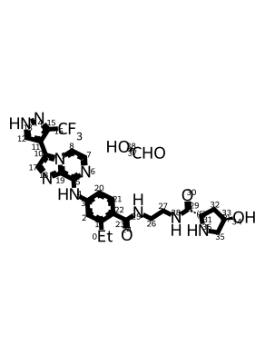 CCc1cc(Nc2nccn3c(-c4c[nH]nc4C(F)(F)F)cnc23)ccc1C(=O)NCCNC(=O)[C@@H]1C[C@@H](O)CN1.O=CO